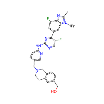 Cc1nc2c(F)cc(-c3nc(Nc4ccc(CN5CCc6cc(CO)ccc6C5)cn4)ncc3F)cc2n1C(C)C